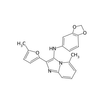 Cc1ccc(-c2nc3cccc(C)n3c2Nc2ccc3c(c2)OCO3)o1